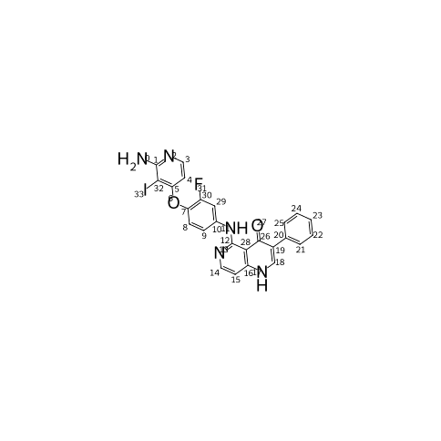 Nc1nccc(Oc2ccc(Nc3nccc4[nH]cc(-c5ccccc5)c(=O)c34)cc2F)c1I